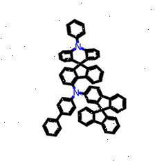 c1ccc(-c2ccc(N(c3ccc4c(c3)C3(c5ccccc5-c5ccccc53)c3ccccc3-4)c3cccc4c3-c3ccccc3C43c4ccccc4N(c4ccccc4)c4ccccc43)cc2)cc1